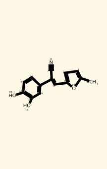 Cc1ccc(/C=C(\C#N)c2ccc(O)c(O)c2)o1